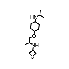 CC(C)NC1CCC(OCC(C)NC2COC2)CC1